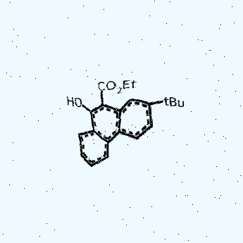 CCOC(=O)c1c(O)c2ccccc2c2ccc(C(C)(C)C)cc12